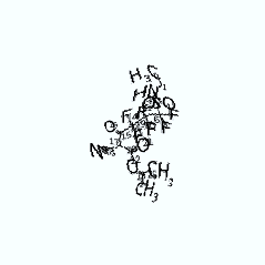 CCNS(=O)(=O)C(F)(F)C(F)(F)C(F)(F)C(=O)C(C#N)C(=O)OC(C)C